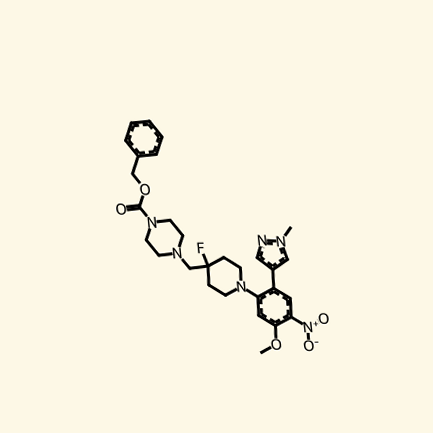 COc1cc(N2CCC(F)(CN3CCN(C(=O)OCc4ccccc4)CC3)CC2)c(-c2cnn(C)c2)cc1[N+](=O)[O-]